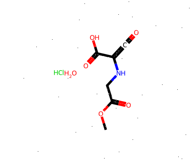 COC(=O)CNC(=C=O)C(=O)O.Cl.O